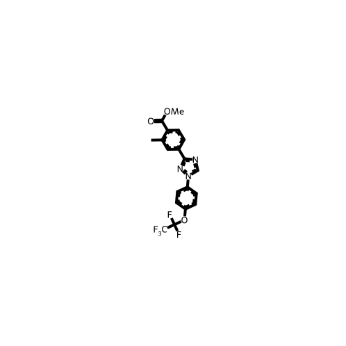 COC(=O)c1ccc(-c2ncn(-c3ccc(OC(F)(F)C(F)(F)F)cc3)n2)cc1C